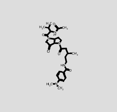 CC(=O)NC(C(=O)N1CC(=O)C2C1CCN2C(=O)CC(C)CCNC(=O)c1ccc(N(C)C)cc1)C(C)C